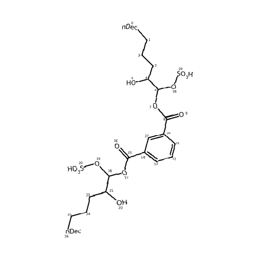 CCCCCCCCCCCCCC(O)C(OC(=O)c1cccc(C(=O)OC(OS(=O)(=O)O)C(O)CCCCCCCCCCCCC)c1)OS(=O)(=O)O